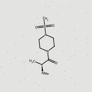 CN[C@@H](C)C(=O)N1CCN(S(C)(=O)=O)CC1